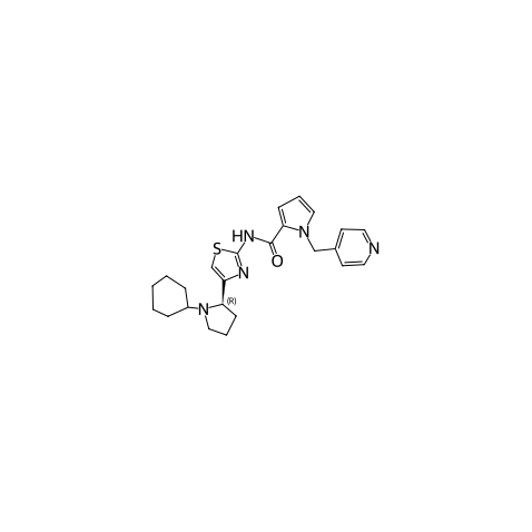 O=C(Nc1nc([C@H]2CCCN2C2CCCCC2)cs1)c1cccn1Cc1ccncc1